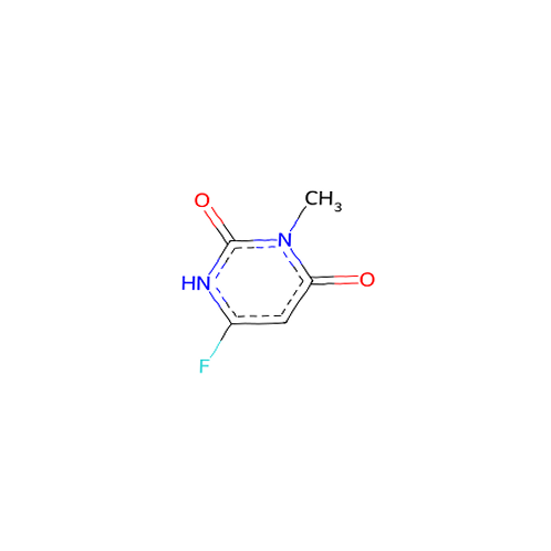 Cn1c(=O)cc(F)[nH]c1=O